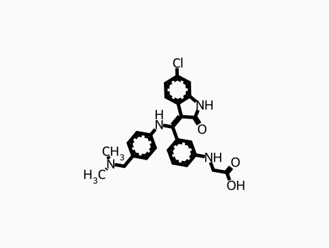 CN(C)Cc1ccc(NC(=C2C(=O)Nc3cc(Cl)ccc32)c2cccc(NCC(=O)O)c2)cc1